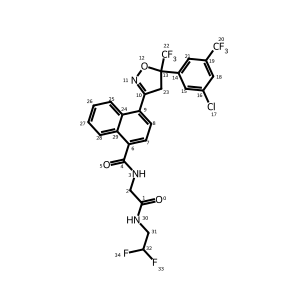 O=C(CNC(=O)c1ccc(C2=NOC(c3cc(Cl)cc(C(F)(F)F)c3)(C(F)(F)F)C2)c2ccccc12)NCC(F)F